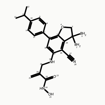 BC1(B)COc2c(-c3ccc(C(C)C)cc3)cc(NCC(=C)C(=O)NO)c(C#N)c21